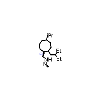 C=NN/C=C1/CCCC(C(C)C)CCC1C=C(CC)CC